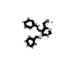 NCc1ncnc(OCc2ccccc2)c1OCc1ccccc1